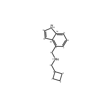 c1cc(CNCC2CCC2)c2cc[nH]c2c1